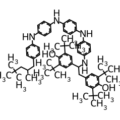 CC(Cc1ccc(Nc2ccc(Nc3ccc(Nc4ccc(NC(Cc5cc(C(C)(C)C)c(O)c(C(C)(C)C)c5)c5cc(C(C)(C)C)c(O)c(C(C)(C)C)c5)cc4)cc3)cc2)cc1)CC(C)(C)C